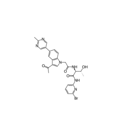 CC(=O)c1cn(CC(=O)N[C@H](C(=O)Nc2cccc(Br)n2)[C@@H](C)O)c2ccc(-c3cnc(C)nc3)cc12